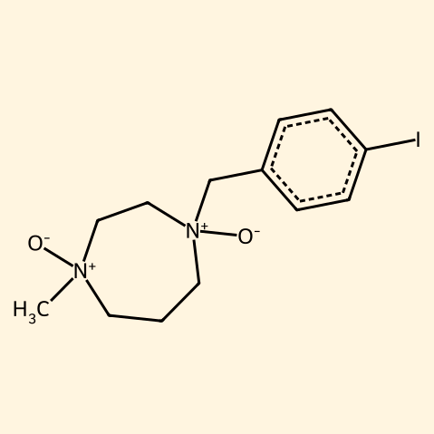 C[N+]1([O-])CCC[N+]([O-])(Cc2ccc(I)cc2)CC1